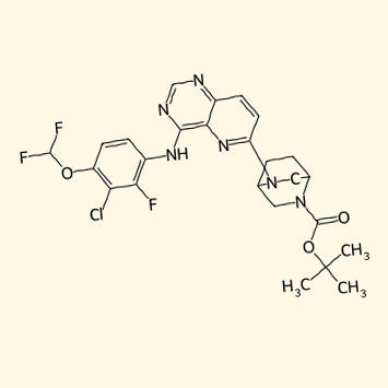 CC(C)(C)OC(=O)N1CC2CCC1CN2c1ccc2ncnc(Nc3ccc(OC(F)F)c(Cl)c3F)c2n1